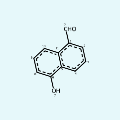 O=Cc1cccc2c(O)cccc12